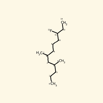 CCCC(C)CC(C)CCCC(F)CC